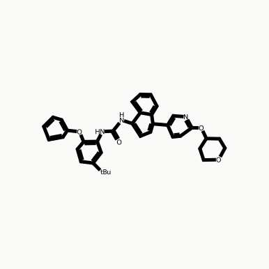 CC(C)(C)c1ccc(Oc2ccccc2)c(NC(=O)Nc2ccc(-c3ccc(OC4CCOCC4)nc3)c3ccccc23)c1